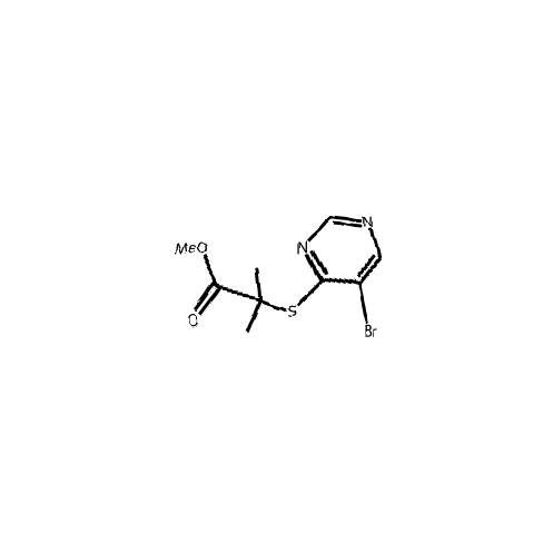 COC(=O)C(C)(C)Sc1ncncc1Br